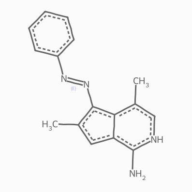 Cc1cc2c(N)[nH]cc(C)c-2c1/N=N/c1ccccc1